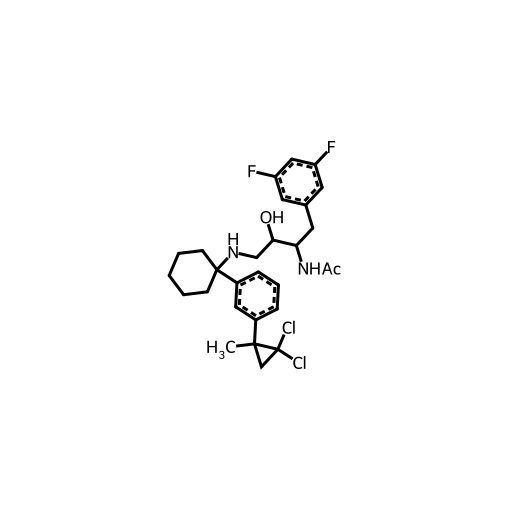 CC(=O)NC(Cc1cc(F)cc(F)c1)C(O)CNC1(c2cccc(C3(C)CC3(Cl)Cl)c2)CCCCC1